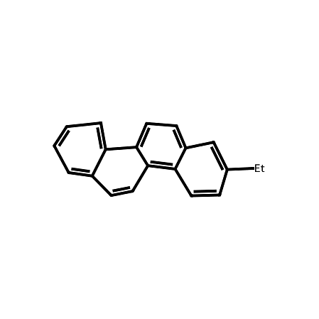 CCc1ccc2c(ccc3c4ccccc4ccc23)c1